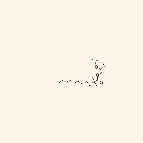 CCCCCCCCOC(C)(C)C(=O)OCC(CC)OC(C)C